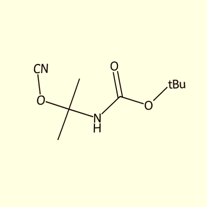 CC(C)(C)OC(=O)NC(C)(C)OC#N